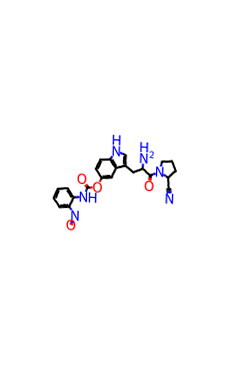 N#CC1CCCN1C(=O)C(N)Cc1c[nH]c2ccc(OC(=O)Nc3ccccc3N=O)cc12